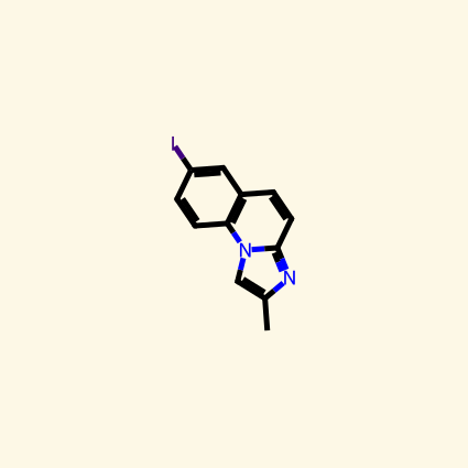 Cc1cn2c(ccc3cc(I)ccc32)n1